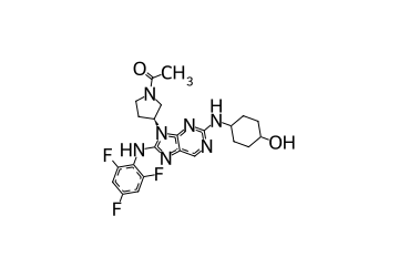 CC(=O)N1CC[C@H](n2c(Nc3c(F)cc(F)cc3F)nc3cnc(NC4CCC(O)CC4)nc32)C1